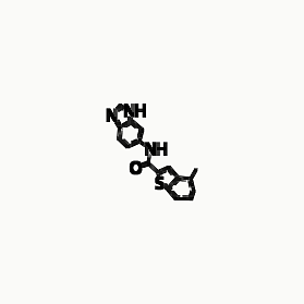 Cc1cccc2sc(C(=O)Nc3ccc4nc[nH]c4c3)cc12